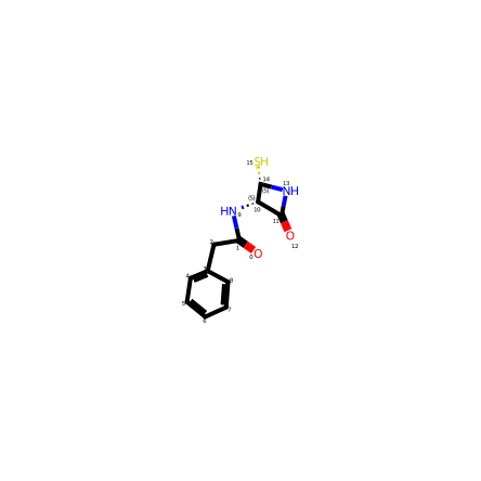 O=C(Cc1ccccc1)N[C@H]1C(=O)N[C@H]1S